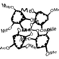 COc1cc(OC)c(O[PH](Oc2c(OC)cc(OC)cc2OC)(Oc2c(OC)cc(OC)cc2OC)Oc2c(OC)cc(OC)cc2OC)c(OC)c1